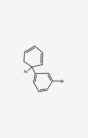 CC(=O)C1(c2cccc(Br)c2)C=CC=CC1